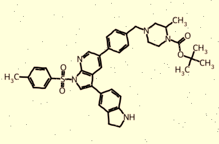 Cc1ccc(S(=O)(=O)n2cc(-c3ccc4c(c3)CCN4)c3cc(-c4ccc(CN5CCN(C(=O)OC(C)(C)C)C(C)C5)cc4)cnc32)cc1